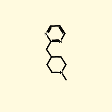 CN1CCC(Cc2ncccn2)CC1